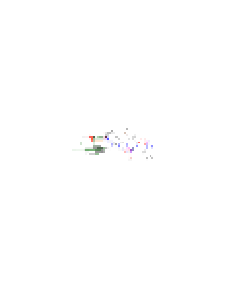 CCSc1cc(Oc2ccccn2)c[n+](OC)c1-c1cc2ccc(=O)n(CC(F)(F)C(F)(F)F)c2cn1